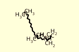 C=C(C)CC(=C)NCCC[N+](C)(C)CCCCCCCCCCN(C)C